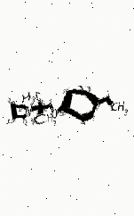 CCc1ccc(OCC(C)(C)N2CCCC2)cc1